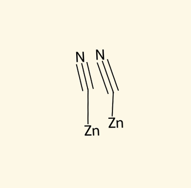 N#[C][Zn].N#[C][Zn]